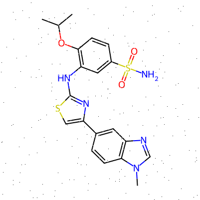 CC(C)Oc1ccc(S(N)(=O)=O)cc1Nc1nc(-c2ccc3c(c2)ncn3C)cs1